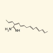 CC=CC=CC=CCC=CC=C(C=CC)C(=N)N